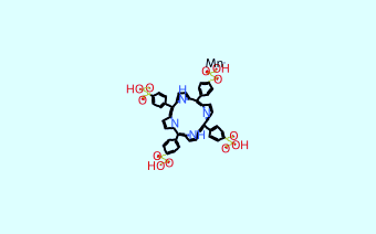 O=S(=O)(O)c1ccc(-c2c3nc(c(-c4ccc(S(=O)(=O)O)cc4)c4ccc([nH]4)c(-c4ccc(S(=O)(=O)O)cc4)c4nc(c(-c5ccc(S(=O)(=O)O)cc5)c5ccc2[nH]5)C=C4)C=C3)cc1.[Mn]